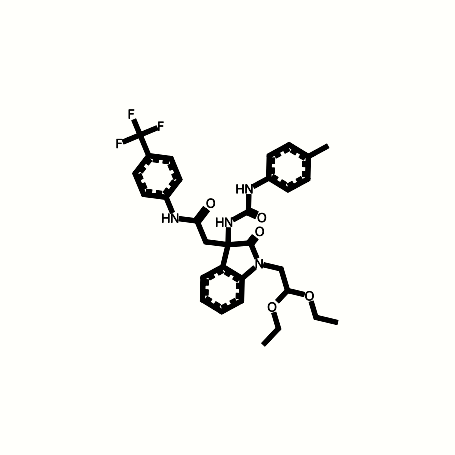 CCOC(CN1C(=O)C(CC(=O)Nc2ccc(C(F)(F)F)cc2)(NC(=O)Nc2ccc(C)cc2)c2ccccc21)OCC